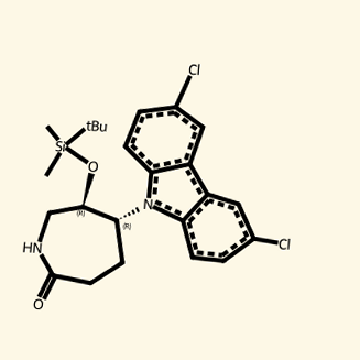 CC(C)(C)[Si](C)(C)O[C@@H]1CNC(=O)CC[C@H]1n1c2ccc(Cl)cc2c2cc(Cl)ccc21